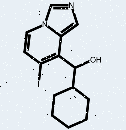 OC(c1c(I)ccn2cncc12)C1CCCCC1